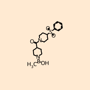 CB(O)N1CCC(C(=O)N2CCC(S(=O)(=O)c3ccccc3)CC2)CC1